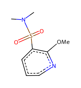 COc1ncccc1S(=O)(=O)N(C)C